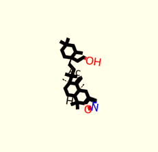 CC(=O)/C=C1/[C@@]2(C)Cc3cnoc3C(C)(C)[C@@H]2CC[C@@]1(C)C(C)(C)CC[C@@]1(CCO)CCC(C)(C)CC1C